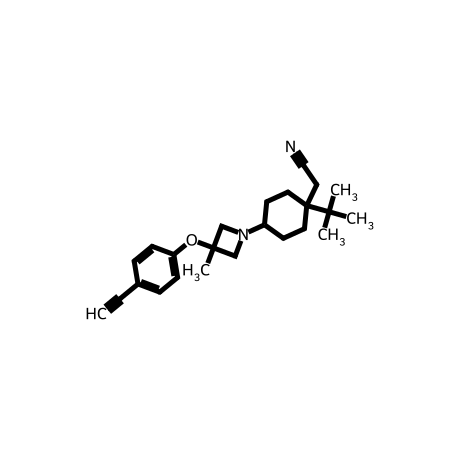 C#Cc1ccc(OC2(C)CN(C3CCC(CC#N)(C(C)(C)C)CC3)C2)cc1